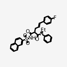 CCN(C(=O)C(CC=Cc1ccc(F)cc1)C(=O)NS(=O)(=O)c1ccc2ccccc2c1)c1ccccc1